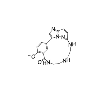 COc1ccc2cc1C(=O)NCCNCCNc1ccc3ncc-2n3n1